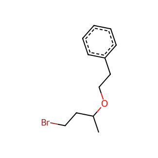 CC(CCBr)OCCc1ccccc1